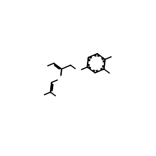 C/C=C(/COc1ccc(C)c(F)c1)OC=C(C)C